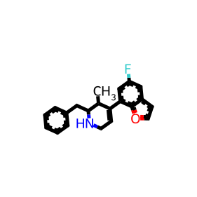 CC1C(c2cc(F)cc3ccoc23)=CCNC1Cc1ccccc1